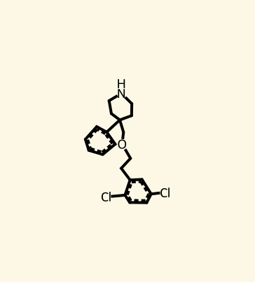 Clc1ccc(Cl)c(CCOCC2(c3ccccc3)CCNCC2)c1